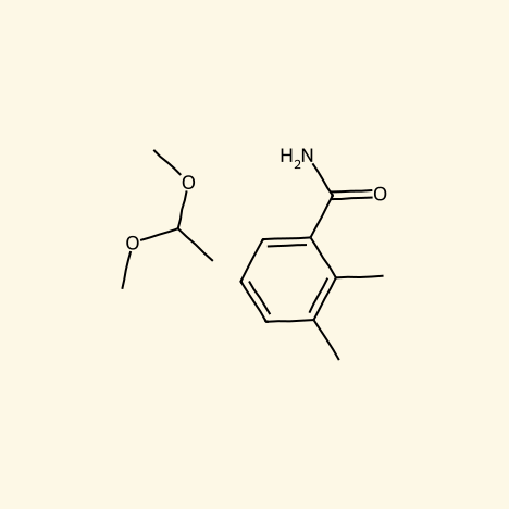 COC(C)OC.Cc1cccc(C(N)=O)c1C